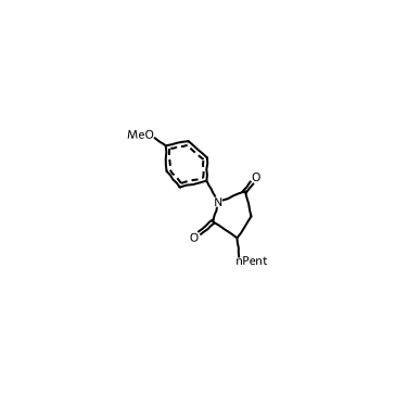 CCCCCC1CC(=O)N(c2ccc(OC)cc2)C1=O